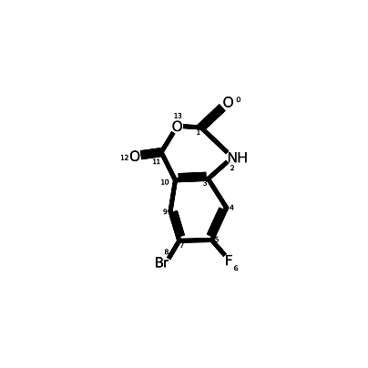 O=c1[nH]c2cc(F)c(Br)cc2c(=O)o1